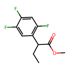 CCC(C(=O)OC)c1cc(F)c(F)cc1F